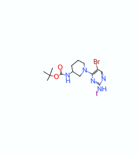 CC(C)(C)OC(=O)NC1CCCN(c2nc(NI)ncc2Br)C1